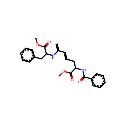 C=C(C=CCC(NC(=O)c1ccccc1)C(=O)OC)NC(Cc1ccccc1)C(=O)OC